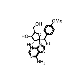 CCC(c1ccc(OC)cc1)[C@@]1(n2cnc3c(N)ncnc32)O[C@H](CO)[C@@H](O)[C@H]1O